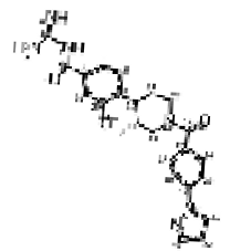 N=C(N)NC(=O)c1ccc(C2CCN(C(=O)c3ccc(-n4cccn4)cc3)CC2)c(C(F)(F)F)c1